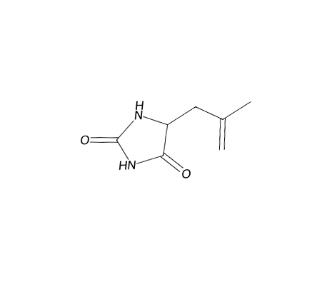 C=C(C)CC1NC(=O)NC1=O